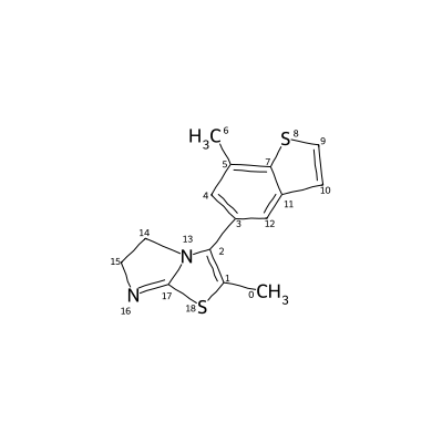 CC1=C(c2cc(C)c3sccc3c2)N2CCN=C2S1